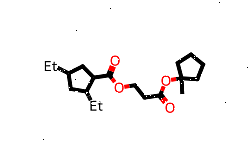 CCC1CC(CC)C(C(=O)OCCC(=O)OC2(C)CCCC2)C1